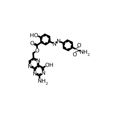 Nc1nc(O)c2nc(COC(=O)c3cc(/N=N/c4ccc(S(N)(=O)=O)cc4)ccc3O)cnc2n1